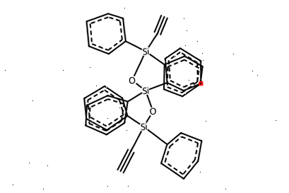 C#C[Si](O[Si](O[Si](C#C)(c1ccccc1)c1ccccc1)(c1ccccc1)c1ccccc1)(c1ccccc1)c1ccccc1